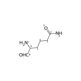 [NH]C(=O)CCCC(N)[C]=O